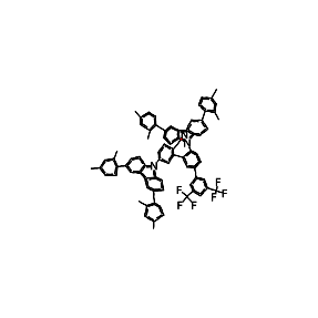 Cc1ccc(-c2ccc3c(c2)c2cc(-c4ccc(C)cc4C)ccc2n3-c2ccc(C#N)c(-c3cc(-c4cc(C(F)(F)F)cc(C(F)(F)F)c4)ccc3-n3c4ccc(-c5ccc(C)cc5C)cc4c4cc(-c5ccc(C)cc5C)ccc43)c2)c(C)c1